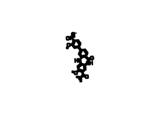 COc1cc2c(cc1C(=O)N(C)C)NC(=O)c1ccc(-c3ccc([N+](=O)[O-])c(OC)c3)cc1N2